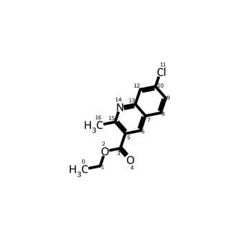 CCOC(=O)c1cc2ccc(Cl)cc2nc1C